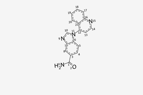 NC(=O)c1ccc2c(c1)ncn2-c1ccnc2ccccc12